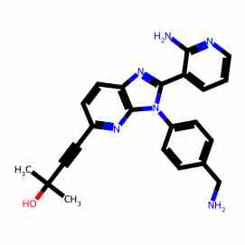 CC(C)(O)C#Cc1ccc2nc(-c3cccnc3N)n(-c3ccc(CN)cc3)c2n1